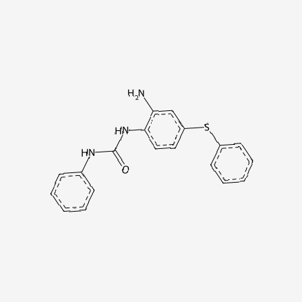 Nc1cc(Sc2ccccc2)ccc1NC(=O)Nc1ccccc1